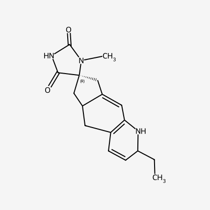 CCC1C=CC2=C(C=C3C[C@]4(CC3C2)C(=O)NC(=O)N4C)N1